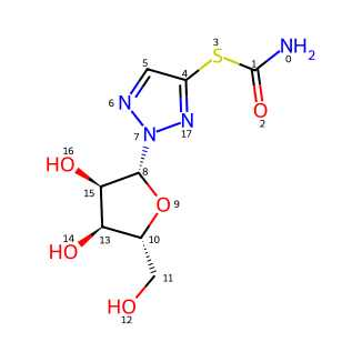 NC(=O)Sc1cnn([C@@H]2O[C@H](CO)[C@@H](O)[C@H]2O)n1